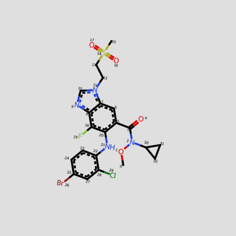 CON(C(=O)c1cc2c(ncn2CCS(C)(=O)=O)c(F)c1Nc1ccc(Br)cc1Cl)C1CC1